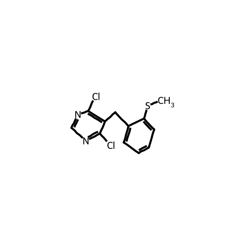 CSc1ccccc1Cc1c(Cl)ncnc1Cl